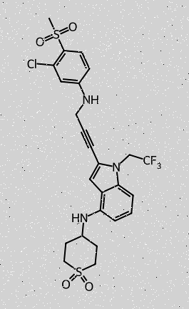 CS(=O)(=O)c1ccc(NCC#Cc2cc3c(NC4CCS(=O)(=O)CC4)cccc3n2CC(F)(F)F)cc1Cl